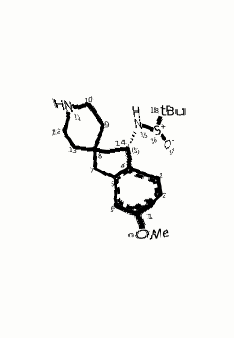 COc1ccc2c(c1)CC1(CCNCC1)[C@@H]2N[S+]([O-])C(C)(C)C